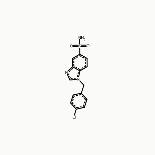 NS(=O)(=O)c1ccc2c(c1)ncn2Cc1ccc(Cl)cc1